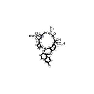 CN1CC/C=C/[C@H](O[Si](C)(C)C(C)(C)C)[C@@H]2CC[C@H]2CN2C[C@@]3(CCCc4cc(Cl)ccc43)COc3ccc(cc32)[C@](O)(C(=O)O)CC1=O